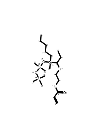 C=CC(=O)OCCOC(CC)[Si](C)(CCCCC)O[Si](C)(C)O[Si](C)(C)C